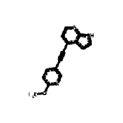 COc1ccc(C#Cc2ccnc3[nH]ccc23)cn1